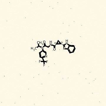 CC(C)N(C(=O)CNC(=O)[C@H]1C[C@@H]1c1nc2ccccc2[nH]1)c1ccc(C(F)(F)F)nc1